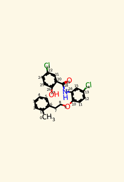 Cc1ccccc1CCOc1ccc(Cl)cc1NC(=O)c1cc(Cl)ccc1O